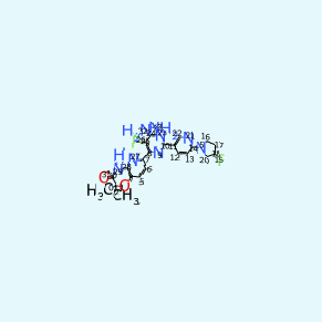 CC1(C)Oc2ccc(-c3nc(-c4ccc(N5CCC(F)C5)nc4)ncc3F)nc2NC1=O.NN